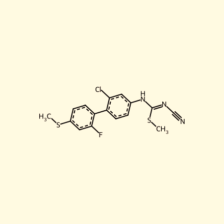 CSC(=NC#N)Nc1ccc(-c2ccc(SC)cc2F)c(Cl)c1